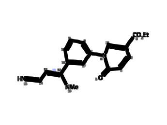 CCOC(=O)c1ccc(=O)n(-c2cccc(/C(=C/C=N)NC)c2)c1